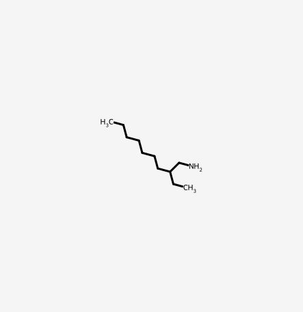 CCCCCCCC(CC)CN